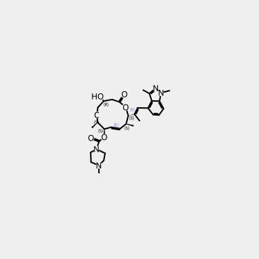 C/C(=C\c1cccc2c1c(C)nn2C)[C@H]1OC(=O)C[C@H](O)CC[C@H](C)[C@H](OC(=O)N2CCN(C)CC2)/C=C/[C@@H]1C